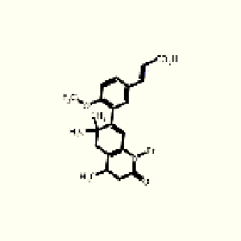 CCN1C(=O)CC(C)C2=C1C=C(c1cc(/C=C/C(=O)O)ccc1OC(F)(F)F)C(C)(C)C2